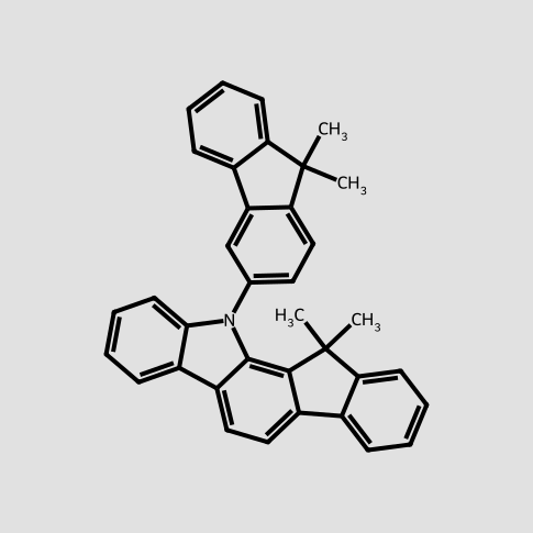 CC1(C)c2ccccc2-c2cc(-n3c4ccccc4c4ccc5c(c43)C(C)(C)c3ccccc3-5)ccc21